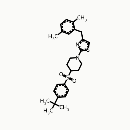 Cc1ccc(C)c(Cc2csc(N3CCC(S(=O)(=O)c4ccc(C(C)(C)C)cc4)CC3)n2)c1